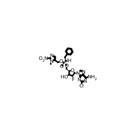 Cn1c(COP(=O)(NCc2ccccc2)OC[C@H]2O[C@@H](n3cnc4c(N)nc(Cl)nc43)[C@H](F)C2O)cnc1[N+](=O)[O-]